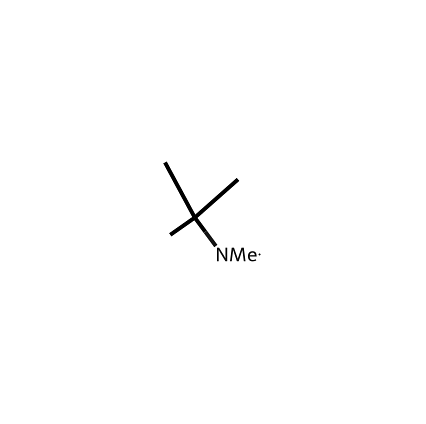 C[N]C(C)(C)C